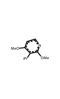 COc1ccnc(OC)c1C(C)C